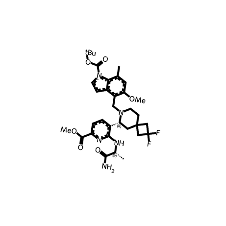 COC(=O)c1ccc([C@H]2CC3(CCN2Cc2c(OC)cc(C)c4c2ccn4C(=O)OC(C)(C)C)CC(F)(F)C3)c(N[C@H](C)C(N)=O)n1